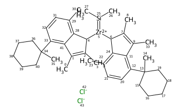 CC1=C(C)[CH]([Zr+2]([CH]2C(C)=C(C)c3c(C4(C)CCCCC4)ccc(C)c32)=[Si](C)C)c2c(C)ccc(C3(C)CCCCC3)c21.[Cl-].[Cl-]